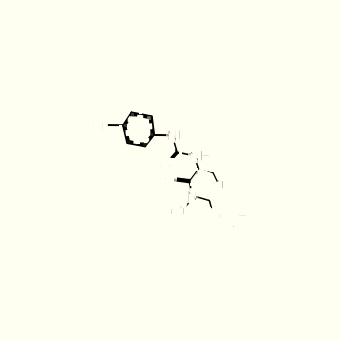 CCCN(CC(=O)O)C(=O)[C@H](CC(C)C)NC(=O)Nc1ccc(Br)cc1